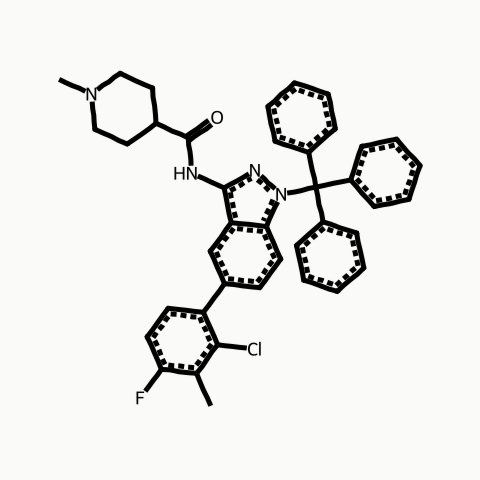 Cc1c(F)ccc(-c2ccc3c(c2)c(NC(=O)C2CCN(C)CC2)nn3C(c2ccccc2)(c2ccccc2)c2ccccc2)c1Cl